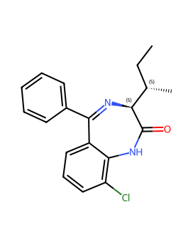 CC[C@H](C)[C@@H]1N=C(c2ccccc2)c2cccc(Cl)c2NC1=O